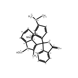 CCCCCCCCn1c(C)c(C2(c3ccc(N(C)C)cc3OC)OC(=O)c3cccnc32)c2ccccc21